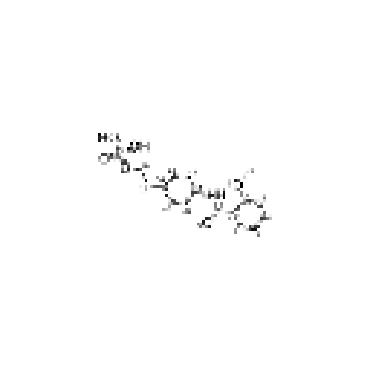 COc1ccccc1C(=O)Nc1ccc(CCOP(=O)(O)O)cc1